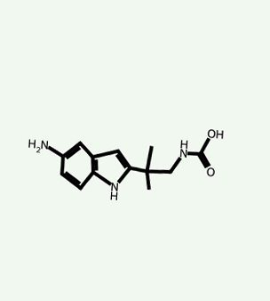 CC(C)(CNC(=O)O)c1cc2cc(N)ccc2[nH]1